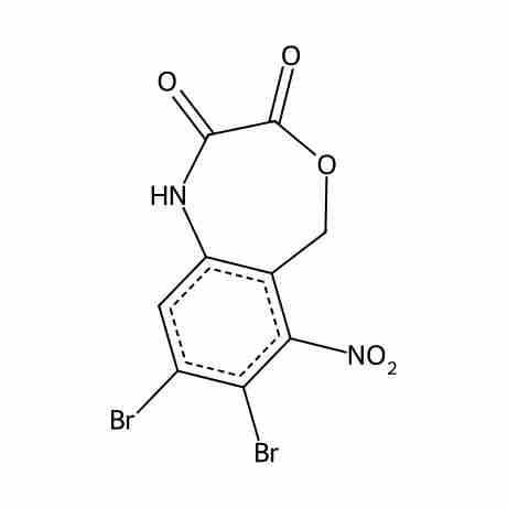 O=C1Nc2cc(Br)c(Br)c([N+](=O)[O-])c2COC1=O